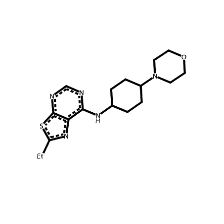 CCc1nc2c(NC3CCC(N4CCOCC4)CC3)ncnc2s1